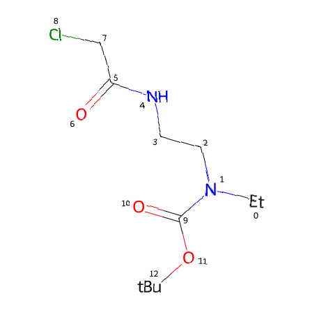 CCN(CCNC(=O)CCl)C(=O)OC(C)(C)C